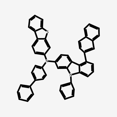 c1ccc(-c2ccc(N(c3ccc4c(c3)sc3ccccc34)c3ccc4c5c(-c6ccc7ccccc7c6)cccc5n(-c5ccccc5)c4c3)cc2)cc1